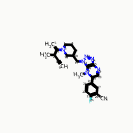 C#CC(C)C(=C)N1CCCC(Cn2nnc3c2N(C)C(c2ccc(F)c(C#N)c2)C=N3)C1